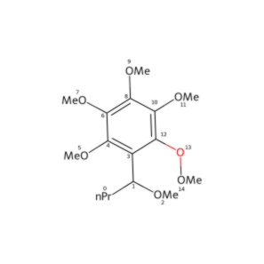 CCCC(OC)c1c(OC)c(OC)c(OC)c(OC)c1OOC